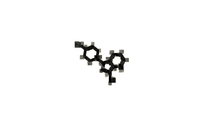 CCC1=CCN(c2cn(CC)c3ncccc23)CC1